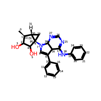 C[C@@H]1C(O)C(O)[C@@]2(N3C=C(c4ccccc4)C4C(Nc5ccccc5)=NC=NC43)C[C@@H]12